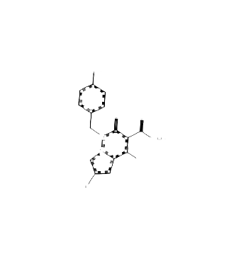 COC(=O)c1c(O)c2cc(Br)cn2n(Cc2ccc(C(F)(F)F)cc2)c1=O